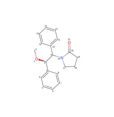 CO[C@H](c1ccccc1)C(c1ccccc1)N1CCCC1=O